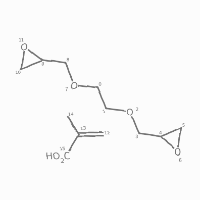 C(COCC1CO1)OCC1CO1.C=C(C)C(=O)O